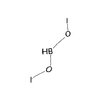 IOBOI